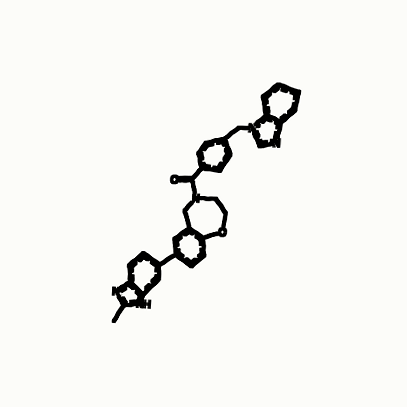 Cc1nc2ccc(-c3ccc4c(c3)CN(C(=O)c3ccc(Cn5cnc6ccccc65)cc3)CCO4)cc2[nH]1